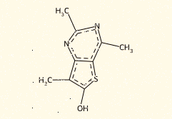 Cc1nc(C)c2sc(O)c(C)c2n1